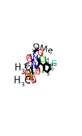 COC(=O)Cn1cc(-c2cccc(F)c2Cl)c(=O)n([C@H](C)CS(C)(=O)=O)c1=O